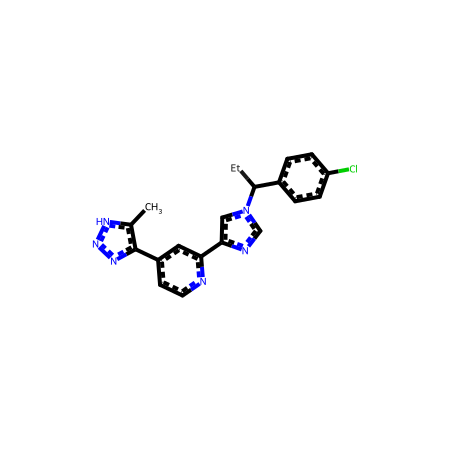 CCC(c1ccc(Cl)cc1)n1cnc(-c2cc(-c3nn[nH]c3C)ccn2)c1